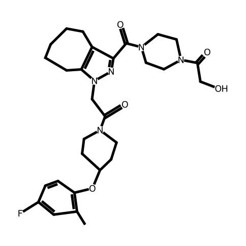 Cc1cc(F)ccc1OC1CCN(C(=O)Cn2nc(C(=O)N3CCN(C(=O)CO)CC3)c3c2CCCCC3)CC1